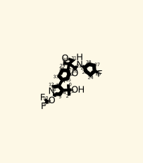 CC(C)(O)c1cc(OC(F)F)ncc1-c1ccc(C2(C(=O)Nc3ccc(F)cc3)COC2)cc1